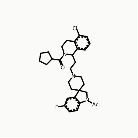 CC(=O)N1CC2(CCN(CCC3c4cccc(Cl)c4CCN3C(=O)C3CCCC3)CC2)c2cc(F)ccc21